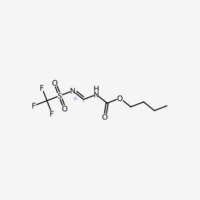 CCCCOC(=O)N/[C]=N/S(=O)(=O)C(F)(F)F